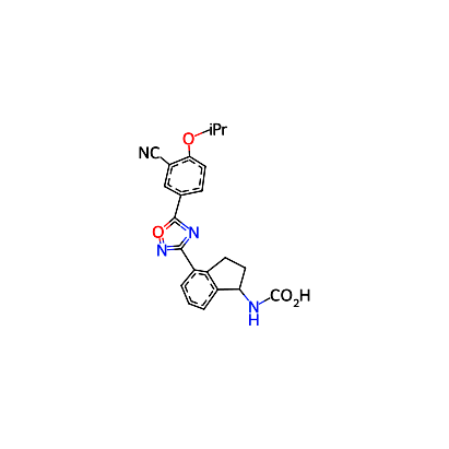 CC(C)Oc1ccc(-c2nc(-c3cccc4c3CCC4NC(=O)O)no2)cc1C#N